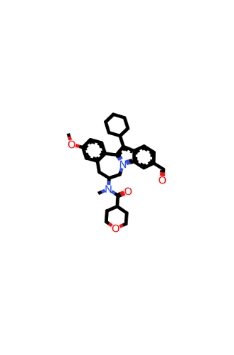 COc1ccc2c(c1)CC(N(C)C(=O)C1CCOCC1)Cn1c-2c(C2CCCCC2)c2ccc(C=O)cc21